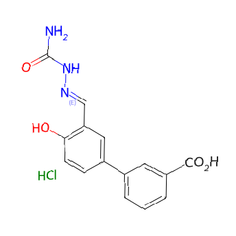 Cl.NC(=O)N/N=C/c1cc(-c2cccc(C(=O)O)c2)ccc1O